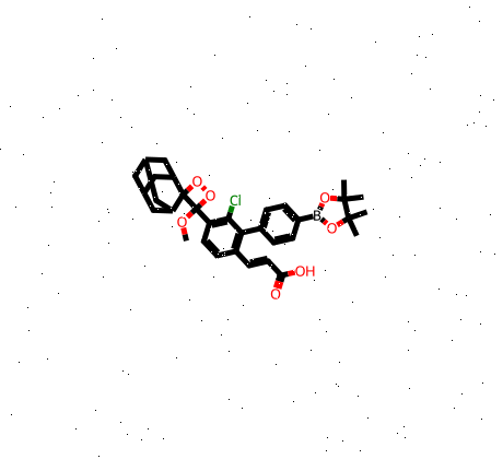 COC1(c2ccc(/C=C/C(=O)O)c(-c3ccc(B4OC(C)(C)C(C)(C)O4)cc3)c2Cl)OOC12C1CC3CC(C1)CC2C3